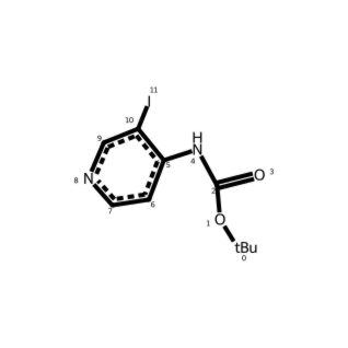 CC(C)(C)OC(=O)Nc1ccncc1I